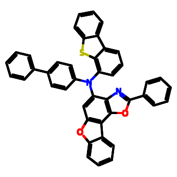 c1ccc(-c2ccc(N(c3cc4oc5ccccc5c4c4oc(-c5ccccc5)nc34)c3cccc4c3sc3ccccc34)cc2)cc1